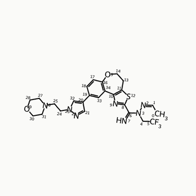 C/C=N\N(CC(F)(F)F)C(=N)c1nc2c(s1)CCOc1ccc(-c3cnn(CCN4CCOCC4)c3)cc1-2